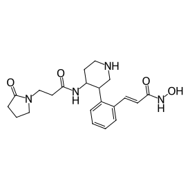 O=C(/C=C/c1ccccc1C1CNCCC1NC(=O)CCN1CCCC1=O)NO